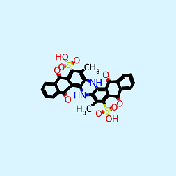 Cc1c(S(=O)(=O)O)c2c(=O)c3ccccc3c(=O)c2c2[nH]c3c(C)c(S(=O)(=O)O)c4c(=O)c5ccccc5c(=O)c4c3[nH]c12